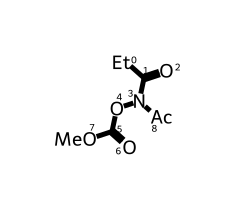 CCC(=O)N(OC(=O)OC)C(C)=O